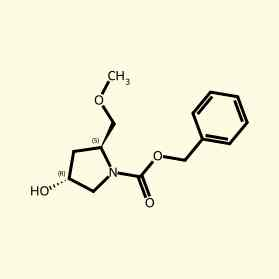 COC[C@@H]1C[C@@H](O)CN1C(=O)OCc1ccccc1